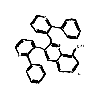 Oc1cccc2cc(-c3cccnc3-c3ccccc3)c(-c3cccnc3-c3ccccc3)nc12.[Ir]